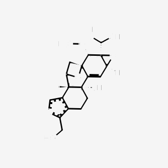 CO[C@@H]1[C@@]2(C(C)C)O[C@H]2C=C2[C@@]13CC(O3)[C@H]1c3coc(CO)c3CC[C@]21C